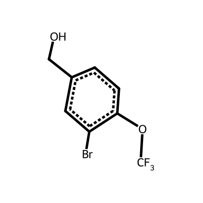 OCc1ccc(OC(F)(F)F)c(Br)c1